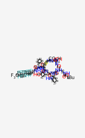 C[C@@H](O)[C@@H]1NC(=O)[C@H](CCCCNC(=O)OC(C)(C)C)NC(=O)[C@@H](Cc2c[nH]c3ccccc23)NC(=O)[C@H](Cc2ccc(O)cc2)NC(=O)[C@@H](NC(=O)[C@@H](Cc2ccccc2)NC(=O)NCCC(F)(F)C(F)(F)C(F)(F)C(F)(F)C(F)(F)C(F)(F)C(F)(F)C(F)(F)F)CSSC[C@@H](C(=O)O)NC1=O